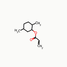 C=CC(=O)OC1CC(C)CCC1C